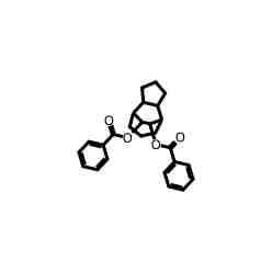 O=C(OC1C2CCCC(C3CCCC32)C1OC(=O)c1ccccc1)c1ccccc1